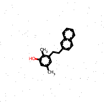 Cc1cc(O)c(C)c(CCc2ccc3ccccc3c2)c1